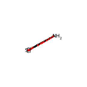 C[Si](Cl)(Cl)CCCCCCCCCCCCCCCCCCCCCCCCCCCCCCCCCCCN